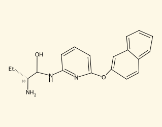 CC[C@@H](N)C(O)Nc1cccc(Oc2ccc3ccccc3c2)n1